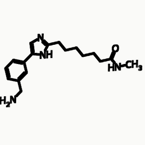 CNC(=O)CCCCCCc1ncc(-c2cccc(CN)c2)[nH]1